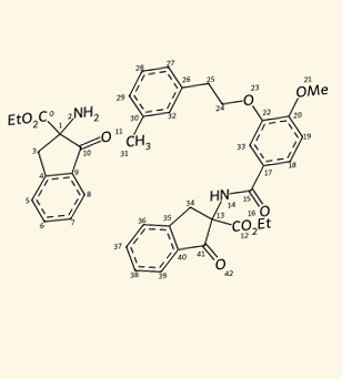 CCOC(=O)C1(N)Cc2ccccc2C1=O.CCOC(=O)C1(NC(=O)c2ccc(OC)c(OCCc3cccc(C)c3)c2)Cc2ccccc2C1=O